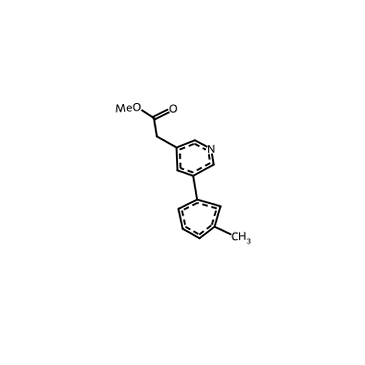 COC(=O)Cc1cncc(-c2cccc(C)c2)c1